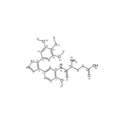 COc1ccc(-c2cnsc2-c2cc(OC)c(OC)c(OC)c2)cc1NC(=O)C(N)CCC(=O)O